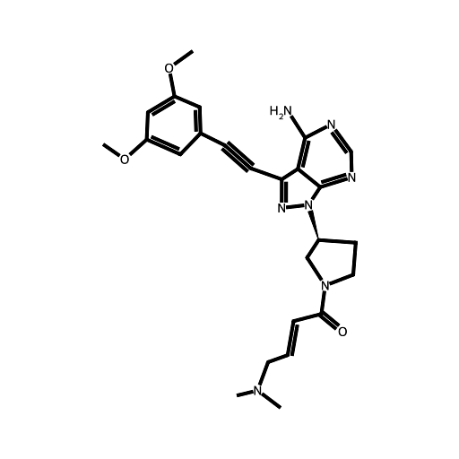 COc1cc(C#Cc2nn([C@H]3CCN(C(=O)/C=C/CN(C)C)C3)c3ncnc(N)c23)cc(OC)c1